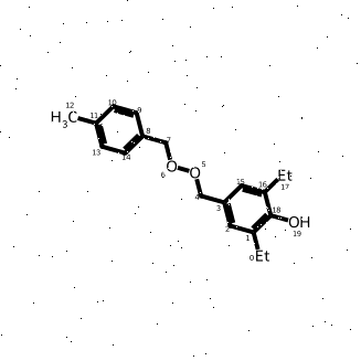 CCc1cc(COOCc2ccc(C)cc2)cc(CC)c1O